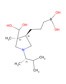 CC(C)[C@H](C)N1C[C@H](CCCB(O)O)[C@](C)(C(O)O)C1